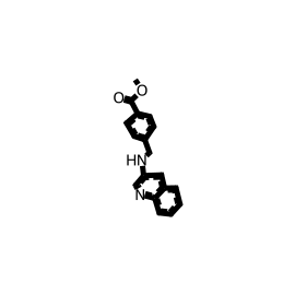 COC(=O)c1ccc(CNc2cnc3ccccc3c2)cc1